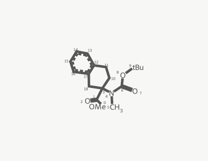 COC(=O)C1(N(C)C(=O)OC(C)(C)C)CCc2ccccc2C1